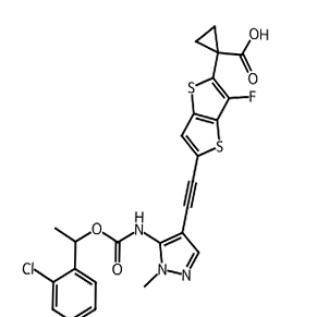 CC(OC(=O)Nc1c(C#Cc2cc3sc(C4(C(=O)O)CC4)c(F)c3s2)cnn1C)c1ccccc1Cl